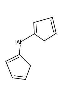 C1=CC[C]([Al][C]2=CC=CC2)=C1